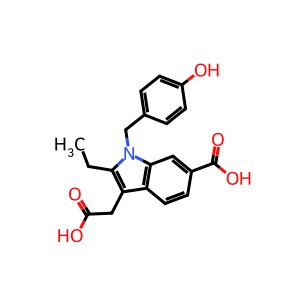 CCc1c(CC(=O)O)c2ccc(C(=O)O)cc2n1Cc1ccc(O)cc1